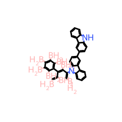 B/C=C(/C(B)=C(\C(B)=C\B)c1c(B)c(B)c(B)c(B)c1B)n1c2ccccc2c2cc(-c3ccc4[nH]c5ccccc5c4c3)ccc21